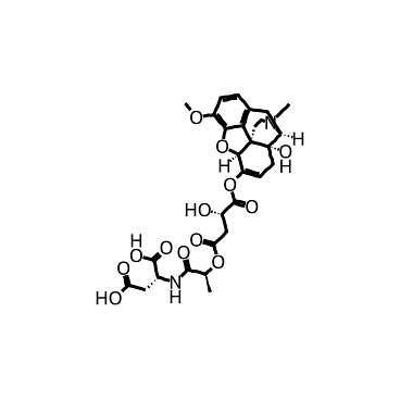 COc1ccc2c3c1O[C@@H]1C(OC(=O)[C@@H](O)CC(=O)O[C@@H](C)C(=O)N[C@H](CC(=O)O)C(=O)O)=CC[C@]4(O)[C@H](C2)N(C)CC[C@@]314